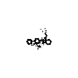 CSCCC(=O)N1CCCCC1C(=O)NC1=CC=C(c2ccccc2)C(Cl)(OC(F)(F)F)C1